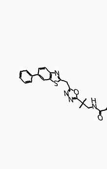 CC(C)(CNC(=O)C1CC1)c1nnc(Cc2nc3ccc(-c4ccccc4)cc3s2)o1